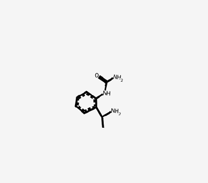 CC(N)c1ccccc1NC(N)=O